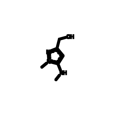 CNc1cc(CO)nn1C